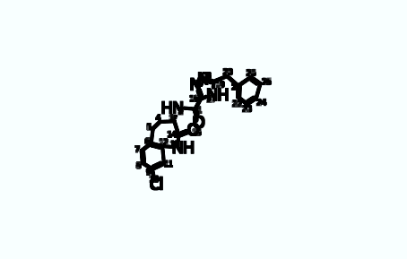 O=C(N[C@H]1CCc2ccc(Cl)cc2NC1=O)c1nnc(Cc2ccccc2)[nH]1